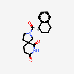 O=C1CCC2(CCN(C(=O)[C@H]3CCCc4ccccc43)C2)C(=O)N1